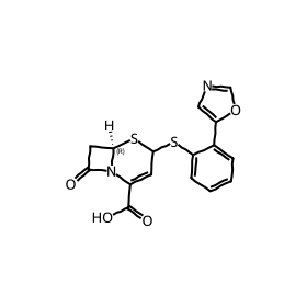 O=C(O)C1=CC(Sc2ccccc2-c2cnco2)S[C@@H]2CC(=O)N12